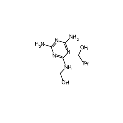 CC(C)CO.Nc1nc(N)nc(NCO)n1